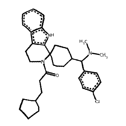 CN(C)C(c1ccc(Cl)cc1)C1CCC2(CC1)c1[nH]c3ccccc3c1CCN2C(=O)CCC1CCCC1